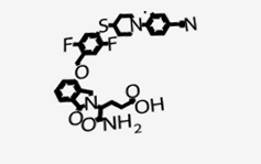 N#Cc1ccc(N2CCC(Sc3cc(F)c(COc4cccc5c4CN(C(CCC(=O)O)C(N)=O)C5=O)cc3F)CC2)c(F)c1